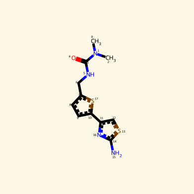 CN(C)C(=O)NCc1ccc(-c2csc(N)n2)s1